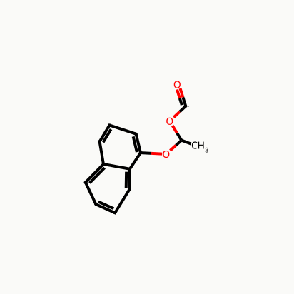 CC(O[C]=O)Oc1cccc2ccccc12